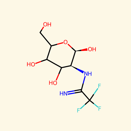 N=C(N[C@H]1C(O)C(O)C(CO)O[C@H]1O)C(F)(F)F